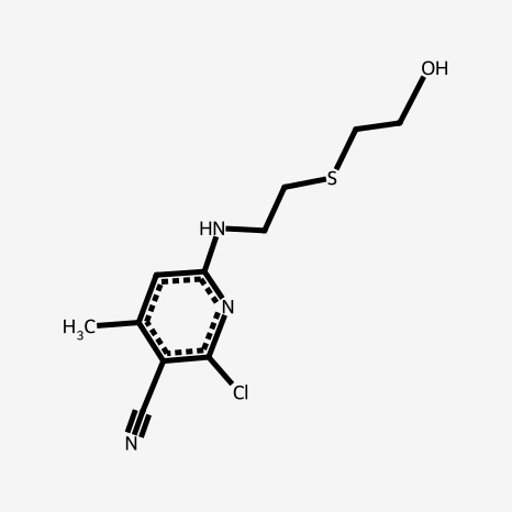 Cc1cc(NCCSCCO)nc(Cl)c1C#N